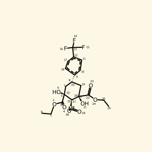 CCOC(=O)[C@]1(O)C[C@H](c2ccc(C(F)(F)F)cc2)C[C@](O)(C(=O)OCC)[C@H]1[N+](=O)[O-]